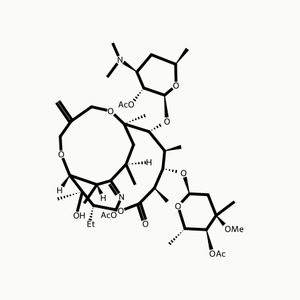 C=C1CO[C@@H]2[C@@H](C)/C(=N\OC(C)=O)[C@H](C)C[C@@](C)(OC1)[C@H](O[C@@H]1O[C@H](C)C[C@H](N(C)C)[C@H]1OC(C)=O)[C@@H](C)[C@H](O[C@H]1C[C@@](C)(OC)[C@@H](OC(C)=O)[C@H](C)O1)[C@@H](C)C(=O)O[C@H](CC)[C@@]2(C)O